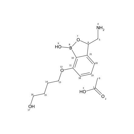 CC(=O)O.NCC1OB(O)c2c(OCCCCO)cccc21